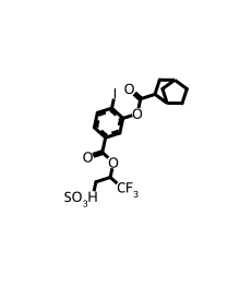 O=C(OC(CS(=O)(=O)O)C(F)(F)F)c1ccc(I)c(OC(=O)C2CC3CCC2C3)c1